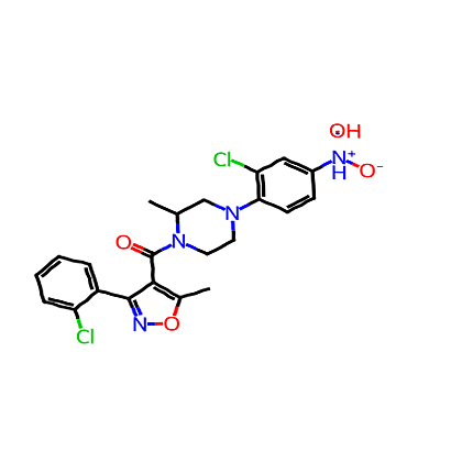 Cc1onc(-c2ccccc2Cl)c1C(=O)N1CCN(c2ccc([NH+]([O-])O)cc2Cl)CC1C